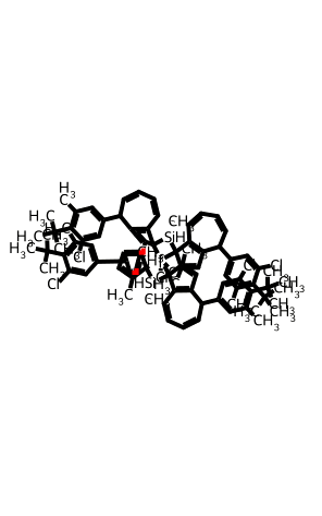 CC1=CC2=C(C=CC=CC2c2cc(C)c(C(C)(C)C)c(Cl)c2)[C]12[SiH](C)[C]1(C(C)=CC3=C1C=CC=CC3c1cc(C)c(C(C)(C)C)c(Cl)c1)[Hf]21([Cl])([Cl])[C]2(C(C)=CC3=C2C=CC=CC3c2cc(C)c(C(C)(C)C)c(Cl)c2)[SiH](C)[C]12C(C)=CC1=C2C=CC=CC1c1cc(C)c(C(C)(C)C)c(Cl)c1